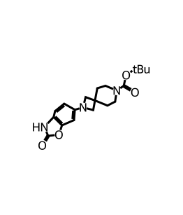 CC(C)(C)OC(=O)N1CCC2(CC1)CN(c1ccc3[nH]c(=O)oc3c1)C2